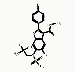 CNC(=O)c1c(-c2ccc(F)cc2)oc2cc(N(CC(C)(C)F)S(C)(=O)=O)c(Br)cc12